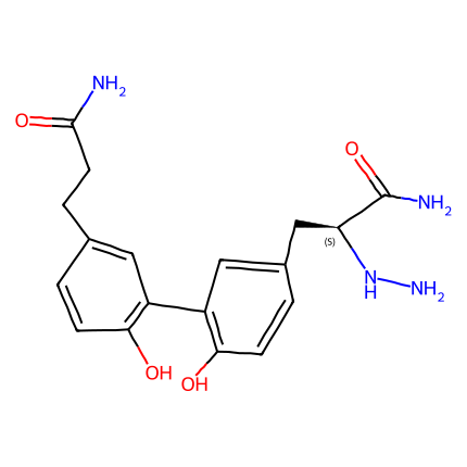 NN[C@@H](Cc1ccc(O)c(-c2cc(CCC(N)=O)ccc2O)c1)C(N)=O